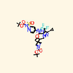 CC(C)(C)OC(=O)N=S(C)(=O)c1cc(NC(=O)c2c(C(F)(F)F)c(C3CC3)nn2CC2CCC23CN(C(=O)OC(C)(C)C)C3)ccn1